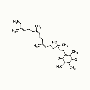 CC(=CCCC(C)=CCCC(C)=CCCC(C)(O)CCC1=C(C)C(=O)C(C)=C(C)C1=O)CN